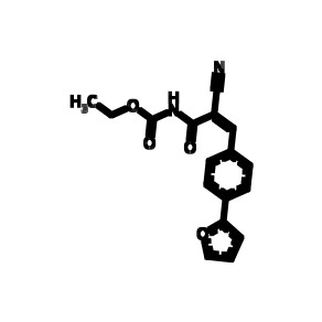 CCOC(=O)NC(=O)/C(C#N)=C\c1ccc(-c2ccco2)cc1